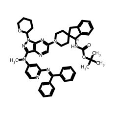 CN(c1ccnc(N=C(c2ccccc2)c2ccccc2)c1)c1nn(C2CCCCO2)c2nc(N3CCC4(CC3)Cc3ccccc3[C@H]4NC(=O)OC(C)(C)C)cnc12